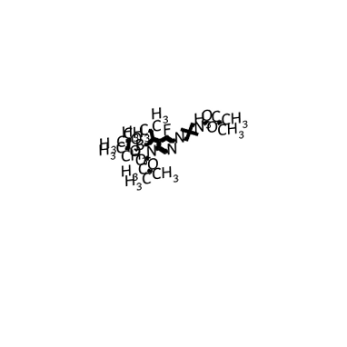 CC(C)c1c(B2OC(C)(C)C(C)(C)O2)n(C(=O)OC(C)(C)C)c2cnc(N3CC4(CN(C(=O)OC(C)(C)C)C4)C3)c(F)c12